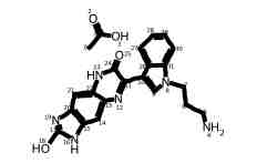 CC(=O)O.NCCCn1cc(-c2nc3cc4[nH]c(O)nc4cc3[nH]c2=O)c2ccccc21